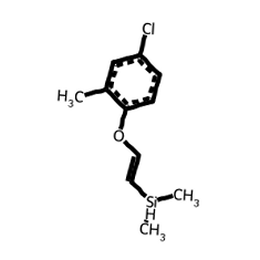 Cc1cc(Cl)ccc1OC=C[SiH](C)C